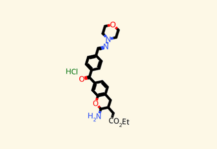 CCOC(=O)CC1Cc2ccc(C(=O)c3ccc(C=NN4CCOCC4)cc3)cc2OC1N.Cl